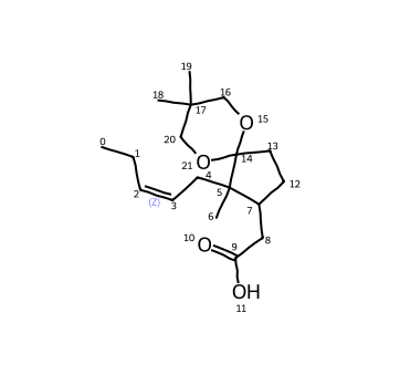 CC/C=C\CC1(C)C(CC(=O)O)CCC12OCC(C)(C)CO2